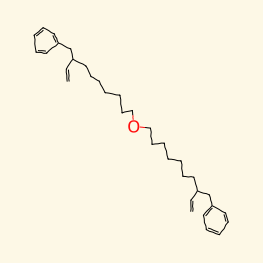 C=CC(CCCCCCCOCCCCCCCC(C=C)Cc1ccccc1)Cc1ccccc1